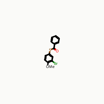 COc1ccc(SC(=O)c2ccccc2)cc1Br